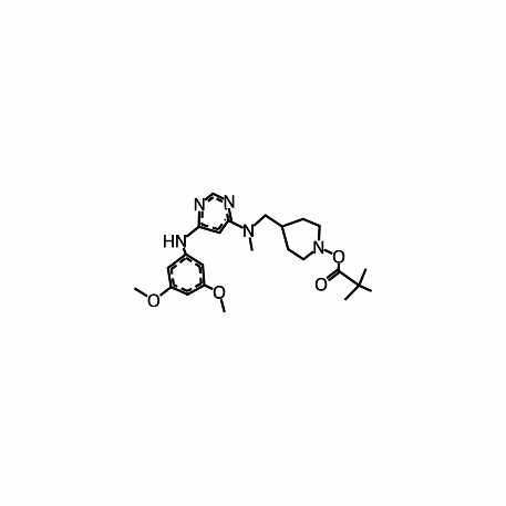 COc1cc(Nc2cc(N(C)CC3CCN(OC(=O)C(C)(C)C)CC3)ncn2)cc(OC)c1